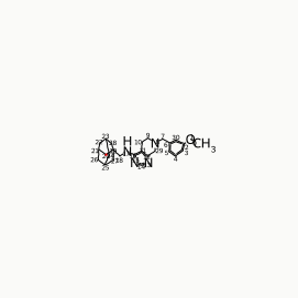 COc1cccc(CN2CCc3c(ncnc3NCC34CC5CC(CC(C5)C3)C4)C2)c1